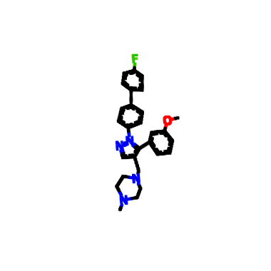 COc1cccc(-c2c(CN3CCN(C)CC3)cnn2-c2ccc(-c3ccc(F)cc3)cc2)c1